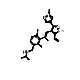 C=Cc1[nH]nc(-c2cnn(C)c2)c1/C=C(\C)c1c(F)ccc(CNC(C)C)c1C